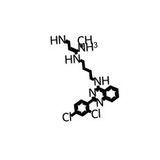 CN/C(=C\C=N)NCCCCNc1nc(-c2ccc(Cl)cc2Cl)nc2ccccc12